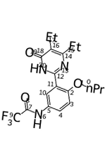 CCCOc1ccc(NC(=O)C(F)(F)F)cc1-c1nc(CC)c(CC)c(=O)[nH]1